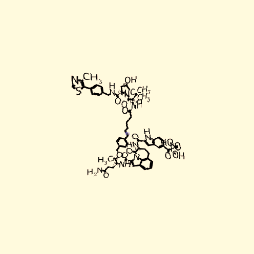 Cc1ncsc1-c1ccc(CNC(=O)[C@@H]2C[C@@H](O)CN2C(=O)[C@@H](NC(=O)CCC/C=C/c2ccc(CO[C@H](C)[C@H](CCC(N)=O)NC(=O)[C@@H]3Cc4cccc5c4N3C(=O)[C@@H](NC(=O)c3cc4cc(C(=O)P(=O)(O)O)ccc4[nH]3)CC5)cc2)C(C)(C)C)cc1